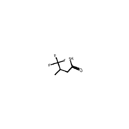 CC(CC(=O)S)C(F)(F)F